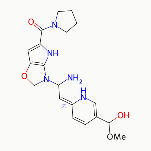 COC(O)C1=CN/C(=C\C(N)N2COc3cc(C(=O)N4CCCC4)[nH]c32)C=C1